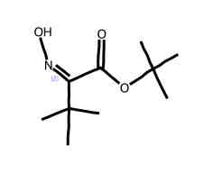 CC(C)(C)OC(=O)/C(=N\O)C(C)(C)C